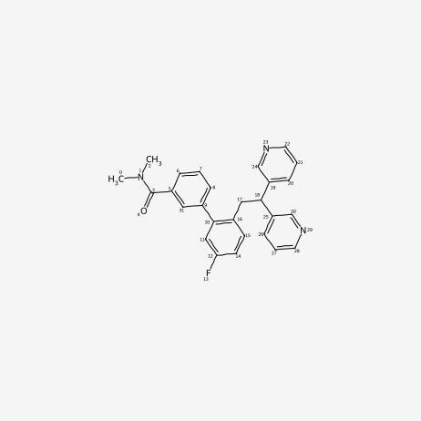 CN(C)C(=O)c1cccc(-c2cc(F)ccc2CC(c2cccnc2)c2cccnc2)c1